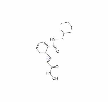 O=C(/C=C/c1ccccc1C(=O)NCC1CCCCC1)NO